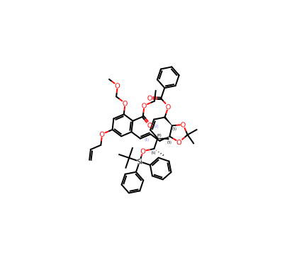 C=CCOc1cc(/C=C/C[C@@H]2OC(C)(C)O[C@@H]2C(/C=C\[C@@H](C)[C@H](C)O[Si](c2ccccc2)(c2ccccc2)C(C)(C)C)OC(=O)c2ccccc2)c(C(=O)OCC)c(OCOC)c1